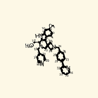 COc1ccc2c3c([nH]c2c1)[C@H](CO)N(Cc1ccncc1)CC31CN(Cc2ccc(-c3ccccn3)cc2)C1